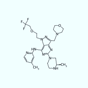 Cc1ccnc(Nc2nc(N3CCN[C@H](C)C3)nc3c(CN4CCOCC4)nn(CCOCC(F)(F)F)c23)c1